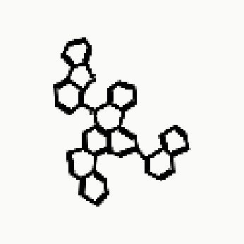 c1cc(-c2ccccc2N(c2ccc3c(ccc4ccccc43)c2)c2cccc3c2sc2ccccc23)cc(-c2cccc3ccccc23)c1